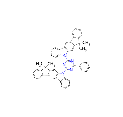 CC1(C)c2ccccc2-c2cc3c4ccccc4n(-c4nc(-c5ccccc5)nc(-n5c6ccccc6c6cc7c(cc65)C(C)(C)c5ccccc5-7)n4)c3cc21